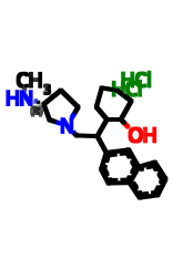 CN[C@@H]1CCN(CC(c2ccc3ccccc3c2)C2CCCCC2O)C1.Cl.Cl